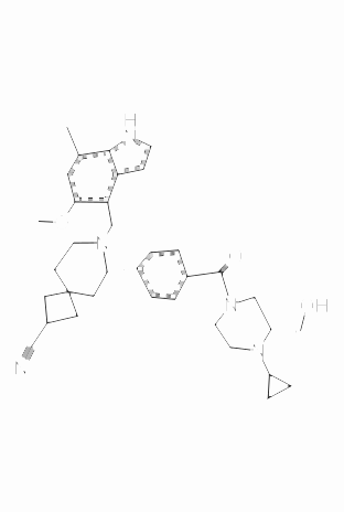 COc1cc(C)c2[nH]ccc2c1CN1CCC2(CC(C#N)C2)C[C@H]1c1ccc(C(=O)N2CCN(C3CC3)[C@@H](CO)C2)cc1